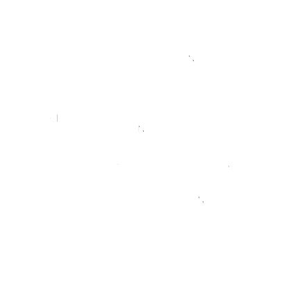 COc1cc(C(F)N(C(=O)c2scnc2C)c2cccc(Cl)c2)c2ccccc2n1